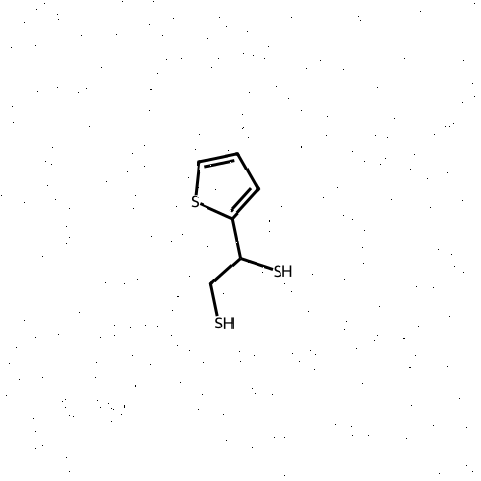 SCC(S)c1cccs1